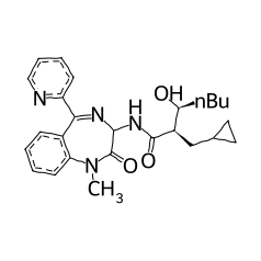 CCCC[C@H](O)[C@@H](CC1CC1)C(=O)NC1N=C(c2ccccn2)c2ccccc2N(C)C1=O